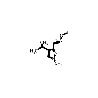 CC(C)c1cn(C)nc1/C=N/OI